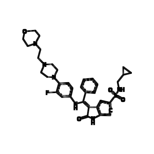 O=C1Nc2ccc(S(=O)(=O)NCC3CC3)cc2/C1=C(/Nc1ccc(N2CCN(CCN3CCOCC3)CC2)c(F)c1)c1ccccc1